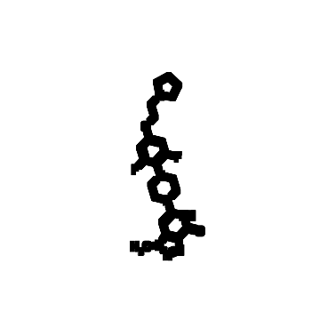 Cn1nnc2c(=O)[nH]c(N3CCN(c4c(F)cc(OCCN5CCCC5)cc4F)CC3)cc21